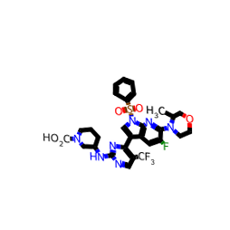 CC1COCCN1c1nc2c(cc1F)c(-c1nc(NC3CCCN(C(=O)O)C3)ncc1C(F)(F)F)cn2S(=O)(=O)c1ccccc1